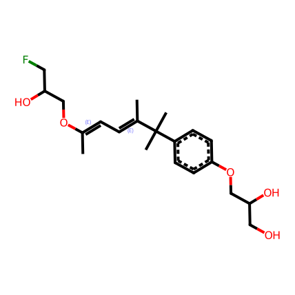 C/C(=C\C=C(/C)C(C)(C)c1ccc(OCC(O)CO)cc1)OCC(O)CF